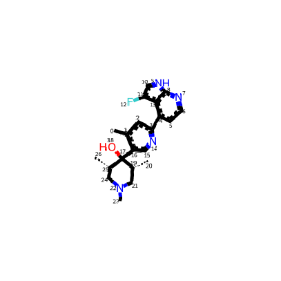 Cc1cc(-c2ccnc3[nH]cc(F)c23)ncc1C1(O)[C@H](C)CN(C)C[C@@H]1C